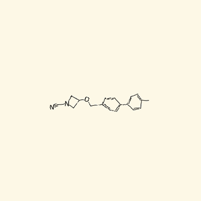 Cc1ccc(-c2ccc(COC3CN(C#N)C3)cc2)cc1